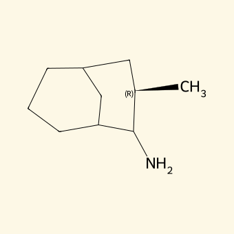 C[C@@H]1CC2CCCC(C2)C1N